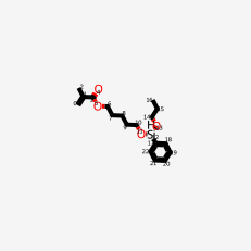 C=C(C)C(=O)OCCCCCO[SiH](OCCC)c1ccccc1